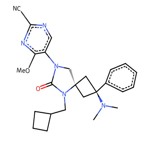 COc1nc(C#N)ncc1N1C[C@]2(C[C@](c3ccccc3)(N(C)C)C2)N(CC2CCC2)C1=O